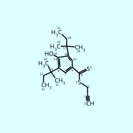 C#CCSC(=S)c1cc(C(C)(C)CC)c(O)c(C(C)(C)CC)c1